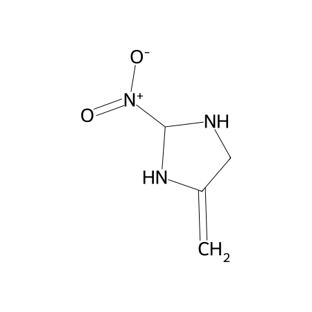 C=C1CNC([N+](=O)[O-])N1